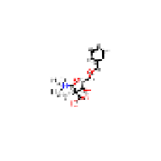 CN(C)C(=O)C(C)(C(=O)O)C(=O)CCOCc1ccccc1